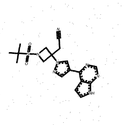 CC(C)(C)S(=O)(=O)N1CC(CC#N)(n2cc(-c3ncnc4[nH]ccc34)cn2)C1